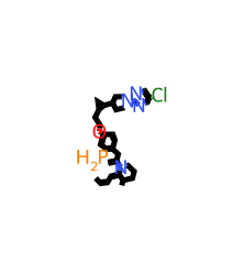 C=C(Cc1ccc(OCCC2CC2C2CCN(c3ncc(Cl)cn3)CC2)cc1P)N1CCCC(C)/C1=C\C=C/C